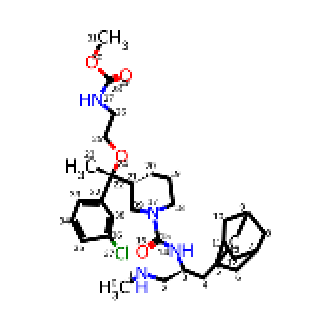 CNC[C@H](CC12CC3CC(CC1C3)C2)NC(=O)N1CCC[C@@H]([C@@](C)(OCCNC(=O)OC)c2cccc(Cl)c2)C1